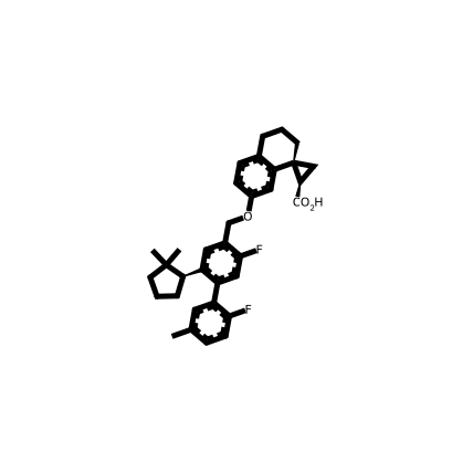 Cc1ccc(F)c(-c2cc(F)c(COc3ccc4c(c3)[C@]3(CCC4)C[C@H]3C(=O)O)cc2[C@H]2CCCC2(C)C)c1